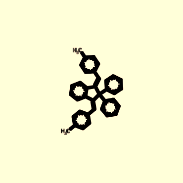 Cc1ccc(C=C2c3ccccc3C(=Cc3ccc(C)cc3)C2(c2ccccc2)c2ccccc2)cc1